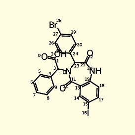 O=C(O)C(c1ccccc1)N1C(=O)c2cc(I)ccc2NC(=O)C1c1ccc(Br)cc1